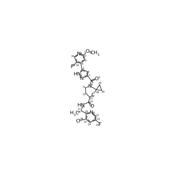 COc1cc(-c2cc(C(=O)N3CCC(C(=O)N[C@@H](C)c4ncc(F)cc4Cl)CC34CC4)n[nH]2)c(F)cn1